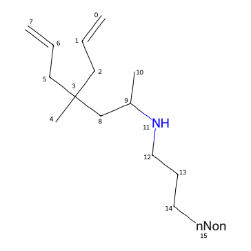 C=CCC(C)(CC=C)CC(C)NCCCCCCCCCCCC